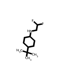 CC(C)(C)C1CCC(NCC(F)F)CC1